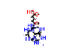 CC1CNC[C@@]2(N)CNCC3(C)CNC[C@@](NC(=O)CCCC(=O)O)(CNC1)N(C)CC3CN2C